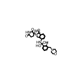 BC1(N2Cc3c(NC(O)(O)c4cccc(CN5CCOCC5)c4F)cccc3C2=O)CCC(=O)NC1=O